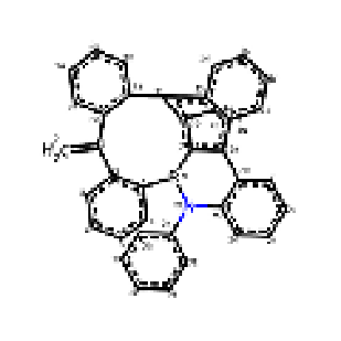 C=C1c2ccccc2B2c3c(C)c(c4ccccc4c3-c3ccccc3N2c2ccccc2)-c2ccccc21